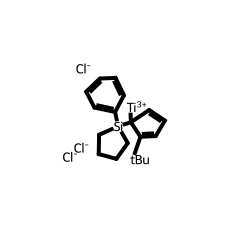 CC(C)(C)C1=CC=C[C]1([Ti+3])[Si]1(c2ccccc2)CCCC1.[Cl-].[Cl-].[Cl-]